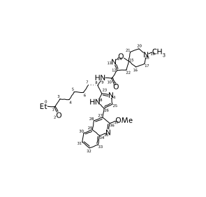 CCC(=O)CCCCC[C@H](NC(=O)C1=NOC2(CCN(C)CC2)C1)c1ncc(-c2cc3ccccc3nc2OC)[nH]1